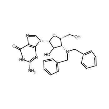 Nc1nc2c(ncn2[C@@H]2O[C@H](CO)[C@H](N(Cc3ccccc3)Cc3ccccc3)C2O)c(=O)[nH]1